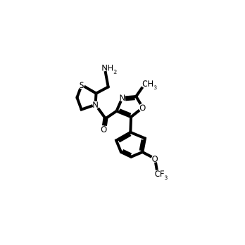 Cc1nc(C(=O)N2CCSC2CN)c(-c2cccc(OC(F)(F)F)c2)o1